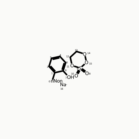 CCCCCCCCCc1ccccc1O.O=S1(=O)OCCOO1.[Na]